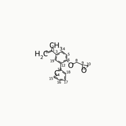 C=C(C)c1ccc(OCC2CO2)c(-c2ccccc2)c1